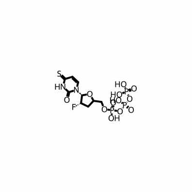 O=c1[nH]c(=S)ccn1[C@@H]1OC(COP(=O)(O)OP(=O)(O)OP(=O)(O)O)C[C@@H]1F